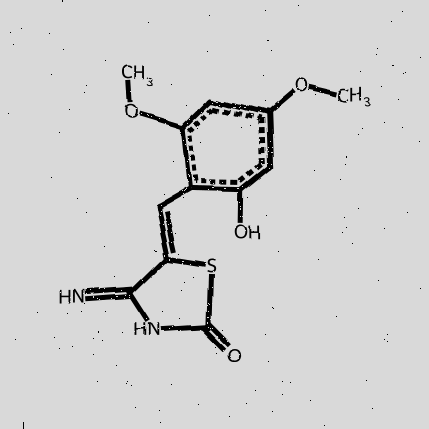 COc1cc(O)c(C=C2SC(=O)NC2=N)c(OC)c1